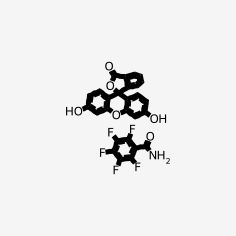 NC(=O)c1c(F)c(F)c(F)c(F)c1F.O=C1OC2(c3ccc(O)cc3Oc3cc(O)ccc32)c2ccccc21